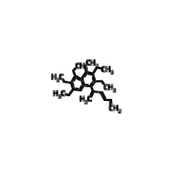 C=CC=CC(=C)c1c(CC)c(CC)c(CC)c2c(CC)c(CC)c(CC)cc12